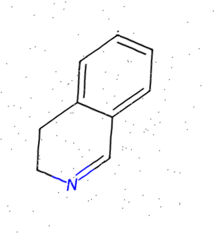 [c]1ccc2c(c1)CCN=C2